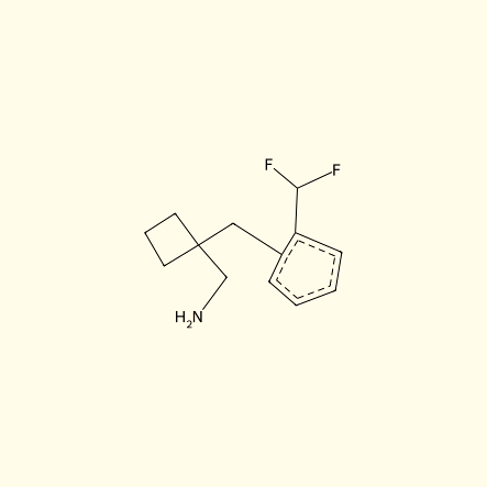 NCC1(Cc2ccccc2C(F)F)CCC1